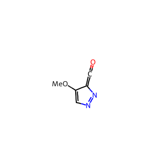 COC1=CN=NC1=C=O